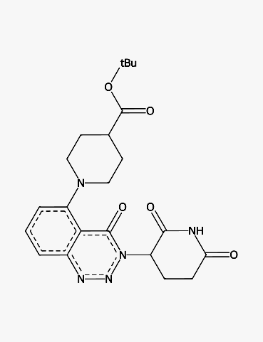 CC(C)(C)OC(=O)C1CCN(c2cccc3nnn(C4CCC(=O)NC4=O)c(=O)c23)CC1